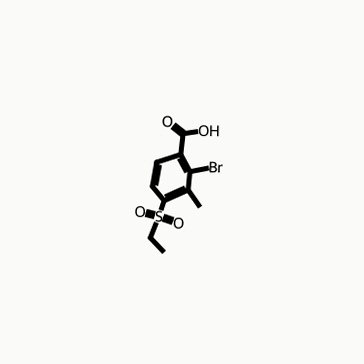 CCS(=O)(=O)c1ccc(C(=O)O)c(Br)c1C